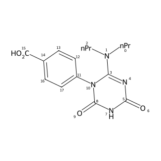 CCCN(CCC)c1nc(=O)[nH]c(=O)n1-c1ccc(C(=O)O)cc1